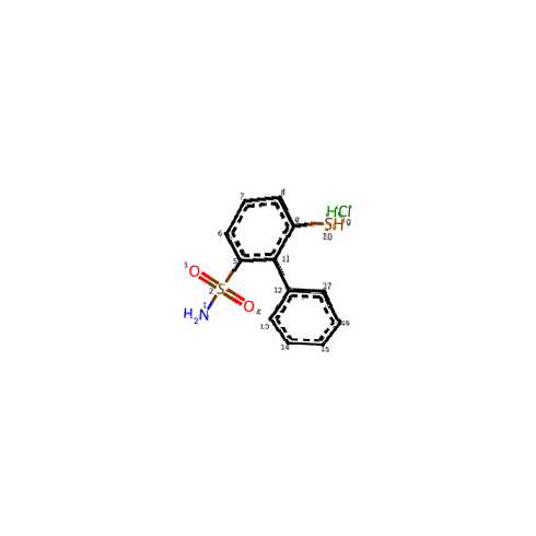 Cl.NS(=O)(=O)c1cccc(S)c1-c1ccccc1